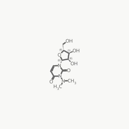 CN(C)n1c(=O)ccn([C@@H]2O[C@H](CO)[C@@H](O)[C@H]2O)c1=O